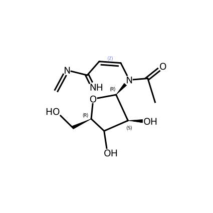 C=NC(=N)/C=C\N(C(C)=O)[C@@H]1O[C@H](CO)C(O)[C@@H]1O